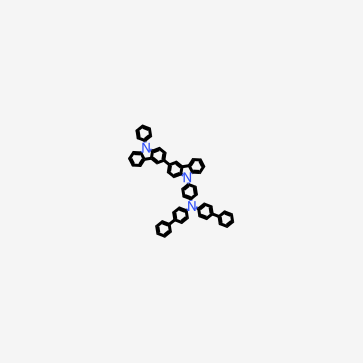 c1ccc(-c2ccc(N(c3ccc(-c4ccccc4)cc3)c3ccc(-n4c5ccccc5c5cc(-c6ccc7c(c6)c6ccccc6n7-c6ccccc6)ccc54)cc3)cc2)cc1